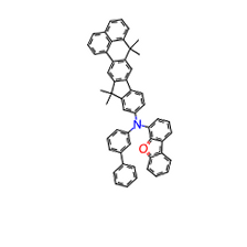 CC1(C)c2cc(N(c3cccc(-c4ccccc4)c3)c3cccc4c3oc3ccccc34)ccc2-c2cc3c(cc21)-c1cccc2cccc(c12)C3(C)C